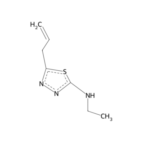 C=CCc1nnc(NCC)s1